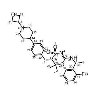 C[C@H](NC1=NS(=O)(=O)[C@@H](Cc2ccc(C3CCN(C4COC4)CC3)cc2)C(C)(C)O1)c1ccccc1F